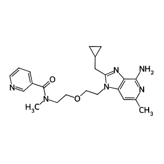 Cc1cc2c(nc(CC3CC3)n2CCOCCN(C)C(=O)c2cccnc2)c(N)n1